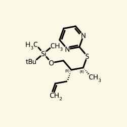 C=CC[C@H](CO[Si](C)(C)C(C)(C)C)[C@@H](C)Sc1ncccn1